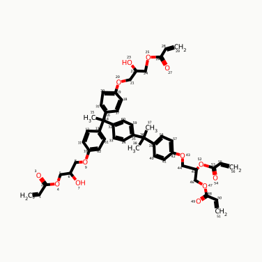 C=CC(=O)OCC(O)COc1ccc(C(C)(c2ccc(OCC(O)COC(=O)C=C)cc2)c2ccc(C(C)(C)c3ccc(OCC(COC(=O)C=C)OC(=O)C=C)cc3)cc2)cc1